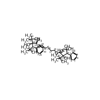 CC(C)(C)C(c1ccccc1)C(O)(C(=O)OCCSCCOC(=O)C(O)(C(c1ccccc1)C(C)(C)C)C(C)(C)C)C(C)(C)C